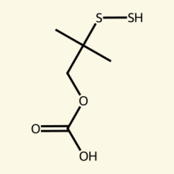 CC(C)(COC(=O)O)SS